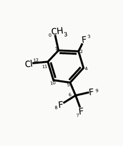 Cc1c(F)cc(C(F)(F)F)cc1Cl